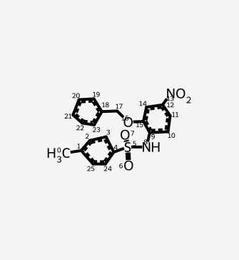 Cc1ccc(S(=O)(=O)Nc2ccc([N+](=O)[O-])cc2OCc2ccccc2)cc1